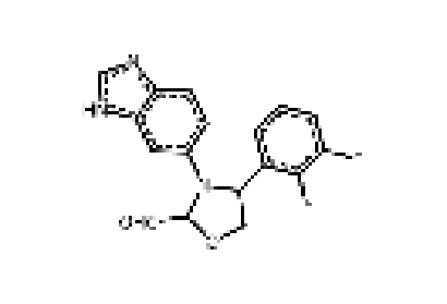 O=CC1OCC(c2cccc(F)c2F)N1c1ccc2nc[nH]c2c1